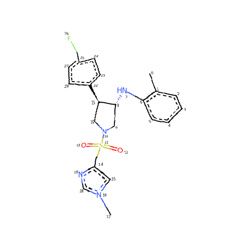 Cc1ccccc1N[C@@H]1CN(S(=O)(=O)c2cn(C)cn2)C[C@H]1c1ccc(F)cc1